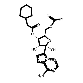 CC(C)C(=O)OC[C@H]1O[C@@](C#N)(c2ccc3c(N)ncnn23)[C@H](O)[C@@H]1OC(=O)CC1CCCCC1